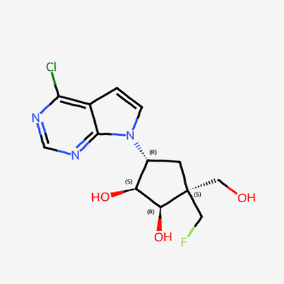 OC[C@@]1(CF)C[C@@H](n2ccc3c(Cl)ncnc32)[C@H](O)[C@@H]1O